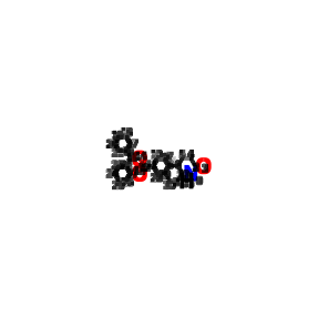 CN1C(=O)CC[C@]2(C)c3ccc(C(=O)OC(c4ccccc4)c4ccccc4)cc3CC[C@@H]12